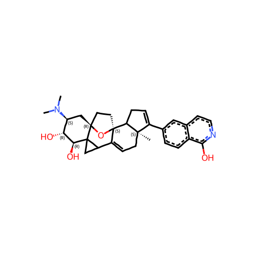 CN(C)[C@H]1C[C@@]23CC[C@@]4(O2)C(=CC[C@]2(C)C(c5ccc6c(O)nccc6c5)=CCC24)C2CC23[C@@H](O)[C@@H]1O